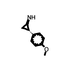 COc1ccc([C@@H]2CC2=N)cc1